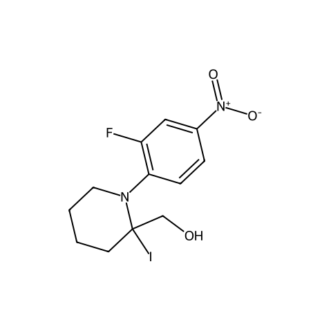 O=[N+]([O-])c1ccc(N2CCCCC2(I)CO)c(F)c1